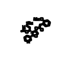 COc1ccccc1CC(=O)O[C@H]1CO[C@H](c2cccnc2)[C@@H]1C(CCC(C)(C)C)O[SiH](C)C